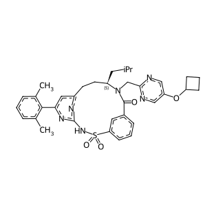 Cc1cccc(C)c1-c1cc2nc(n1)NS(=O)(=O)c1cccc(c1)C(=O)N(Cc1ncc(OC3CCC3)cn1)[C@H](CC(C)C)CC2